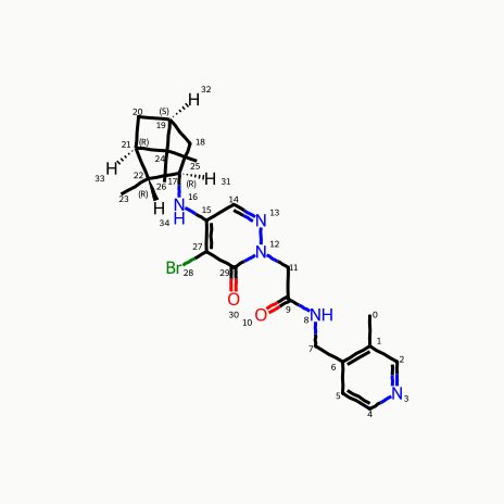 Cc1cnccc1CNC(=O)Cn1ncc(N[C@@H]2C[C@@H]3C[C@H]([C@H]2C)C3(C)C)c(Br)c1=O